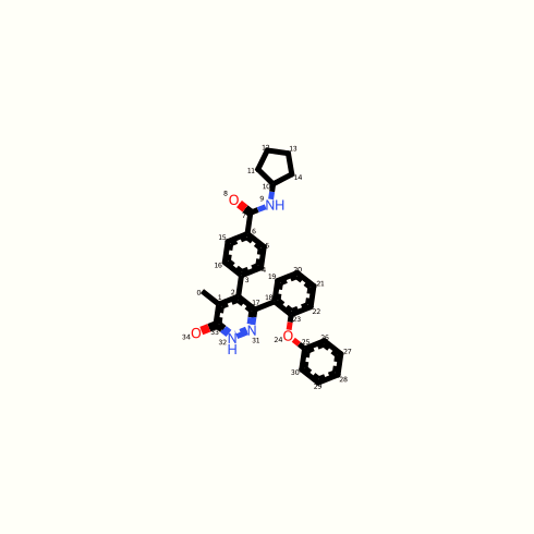 Cc1c(-c2ccc(C(=O)NC3CCCC3)cc2)c(-c2ccccc2Oc2ccccc2)n[nH]c1=O